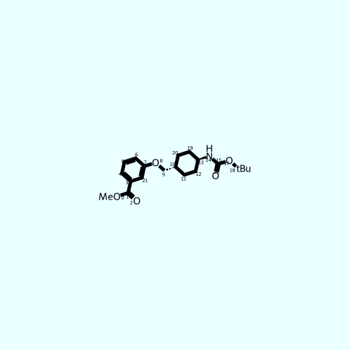 COC(=O)c1cccc(OC[C@H]2CC[C@H](NC(=O)OC(C)(C)C)CC2)c1